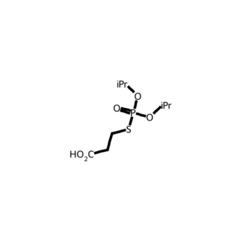 CC(C)OP(=O)(OC(C)C)SCCC(=O)O